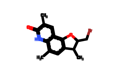 Cc1cc2c3c(cc(C)c2[nH]c1=O)C(C)C(CBr)O3